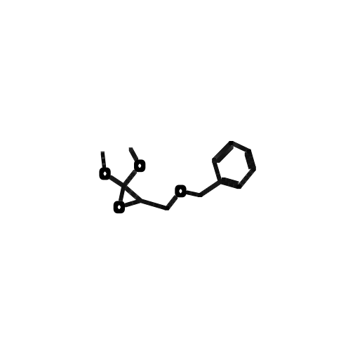 COC1(OC)OC1COCc1ccccc1